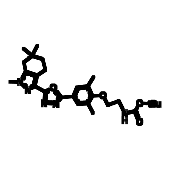 Cc1cc(-c2nnc(-c3nn(C)c4c3CCC(C)(C)C4)o2)cc(C)c1OCCNC(=O)OC(C)(C)C